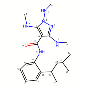 CNc1nn(NC)c(NC)c1C(=O)Nc1ccccc1C(C)CC(C)C